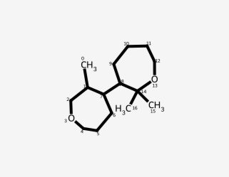 CC1COCCCC1[C]1CCCCOC1(C)C